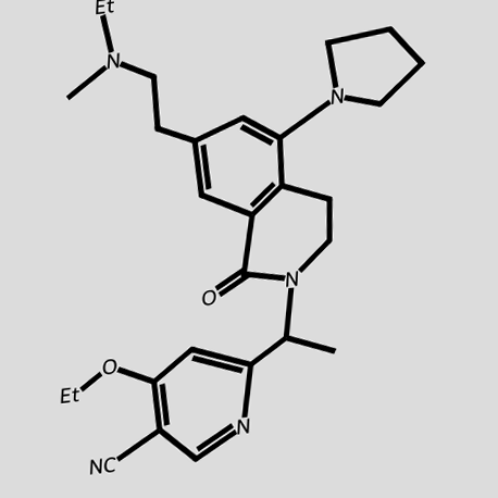 CCOc1cc(C(C)N2CCc3c(cc(CCN(C)CC)cc3N3CCCC3)C2=O)ncc1C#N